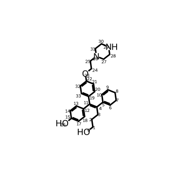 OCCC/C(C1=CCCC=C1)=C(\c1ccc(O)cc1)c1ccc(OCCN2CCNCC2)cc1